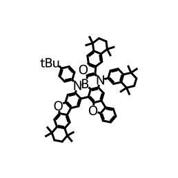 CC(C)(C)c1ccc(N2B3c4oc5cc6c(cc5c4N(c4ccc5c(c4)C(C)(C)CCC5(C)C)c4cc5c(oc7ccccc75)c(c43)-c3cc4c(cc32)oc2cc3c(cc24)C(C)(C)CCC3(C)C)C(C)(C)CCC6(C)C)cc1